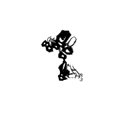 CC1(C)c2ccccc2-c2ccc(-c3ccc(N(c4cccc(-c5cccc6c5C(C)(C)c5ccccc5-6)c4)c4cccc5oc6c7ccccc7ccc6c45)cc3)cc21